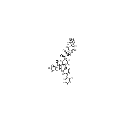 Cc1ccccc1N1CCN(c2ccc(C(=O)NC(=O)c3cccc(S(N)(=O)=O)c3)cc2NC(=O)c2ccco2)CC1